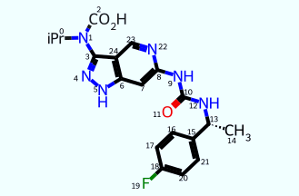 CC(C)N(C(=O)O)c1n[nH]c2cc(NC(=O)N[C@H](C)c3ccc(F)cc3)ncc12